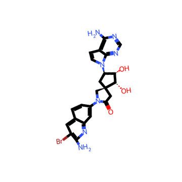 Nc1nc2cc(N3C[C@@]4(CC3=O)C[C@@H](n3ccc5c(N)ncnc53)[C@H](O)[C@@H]4O)ccc2cc1Br